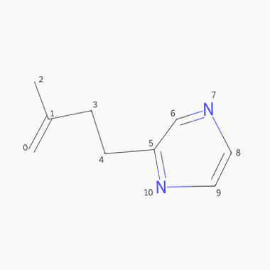 C=C(C)CCc1cnccn1